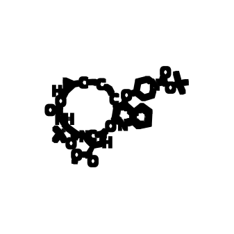 COC(=O)[C@@H]1C[C@@H]2CN1C(=O)[C@H](C(C)(C)C)NC(=O)O[C@@H]1CC1CCCCCc1c(nc3ccccc3c1OC1CCN(C(=O)OC(C)(C)C)CC1)O2